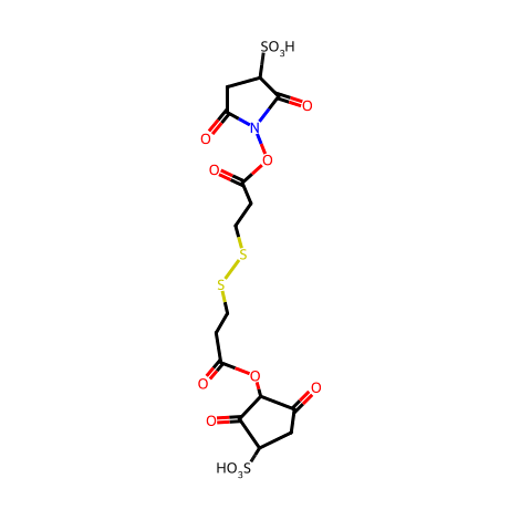 O=C(CCSSCCC(=O)ON1C(=O)CC(S(=O)(=O)O)C1=O)OC1C(=O)CC(S(=O)(=O)O)C1=O